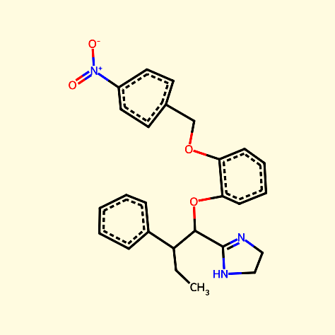 CCC(c1ccccc1)C(Oc1ccccc1OCc1ccc([N+](=O)[O-])cc1)C1=NCCN1